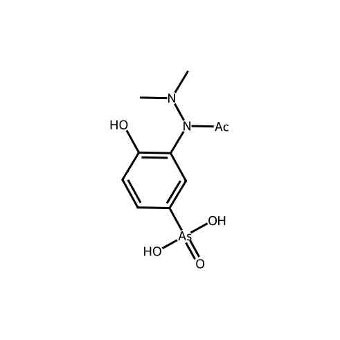 CC(=O)N(c1cc([As](=O)(O)O)ccc1O)N(C)C